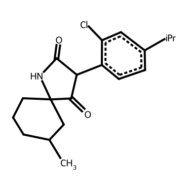 CC1CCCC2(C1)NC(=O)C(c1ccc(C(C)C)cc1Cl)C2=O